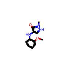 COc1ccccc1Nc1c[nH]n(C)c1=O